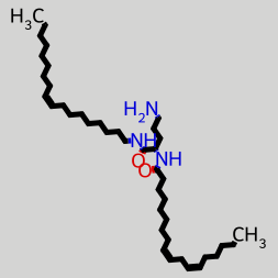 CCCCC/C=C\C/C=C\CCCCCCCC(=O)NC(CCCN)C(=O)NCCCCCCCC/C=C\CCCCCCCC